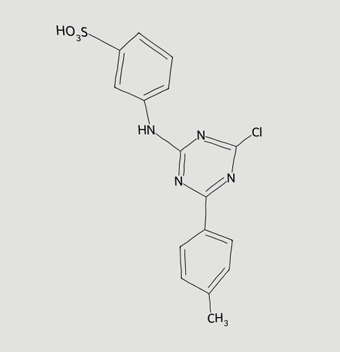 Cc1ccc(-c2nc(Cl)nc(Nc3cccc(S(=O)(=O)O)c3)n2)cc1